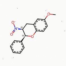 COc1ccc2c(c1)C[C@H]([N+](=O)[O-])[C@H](c1ccccc1)O2